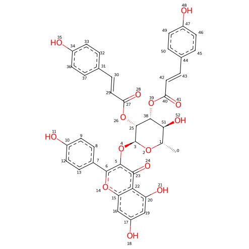 C[C@@H]1O[C@@H](Oc2c(-c3ccc(O)cc3)oc3cc(O)cc(O)c3c2=O)[C@H](OC(=O)/C=C/c2ccc(O)cc2)[C@H](OC(=O)/C=C/c2ccc(O)cc2)[C@H]1O